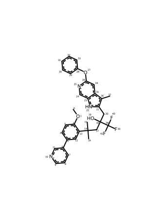 COc1ccc(-c2cccnc2)cc1C(C)(C)CC(O)(Cc1[nH]c2cnc(Oc3ccccc3)cc2c1C)C(F)(F)F